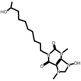 CC(O)CCCCCCCCn1c(=O)c2c(n(C)c1=O)N(O)CN2C